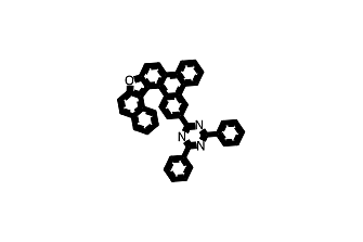 c1ccc(-c2nc(-c3ccccc3)nc(-c3ccc4c(c3)c3ccccc3c3ccc5oc6ccc7ccccc7c6c5c34)n2)cc1